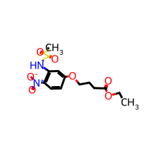 CCOC(=O)CCCOc1ccc([N+](=O)[O-])c(NS(C)(=O)=O)c1